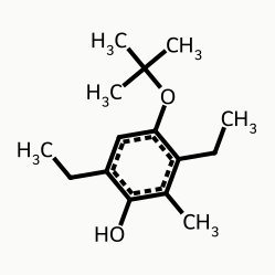 CCc1cc(OC(C)(C)C)c(CC)c(C)c1O